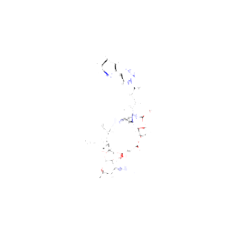 CC[C@H]1OC(=O)[C@H](C)C(=O)C[C@@H](O[C@@H]2O[C@H](C)CC(N)C2O)[C@](C)(OC)C[C@@H](C)CN[C@H](C)[C@H]2N(CCCCn3cc(-c4ccccn4)nn3)C(=O)O[C@]12C